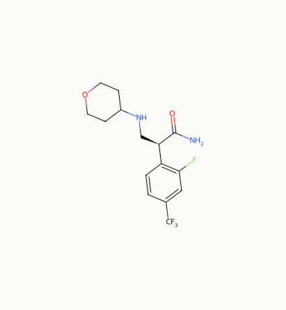 NC(=O)[C@H](CNC1CCOCC1)c1ccc(C(F)(F)F)cc1F